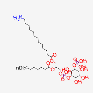 CCCCCCCCCCCCCCCC(=O)O[C@H](COC(=O)CCCCCCCCCCCCN)COP(=O)(O)OC1C(O)[C@H](OP(=O)(O)O)C(O)[C@H](O)[C@@H]1O